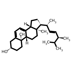 CC(C)[C@H](C)/C=C/[C@@H](C)[C@H]1CC[C@H]2C3=CC=C4C[C@@H](O)CC[C@]4(C)[C@H]3CC[C@]12C